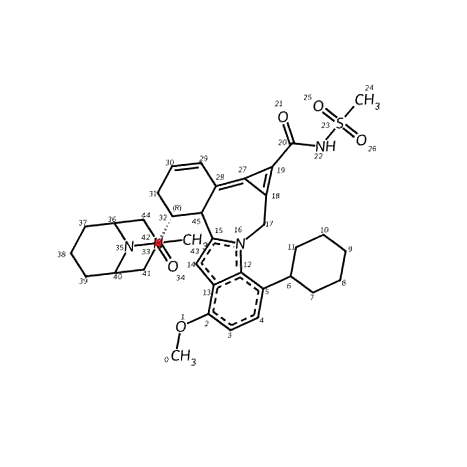 COc1ccc(C2CCCCC2)c2c1cc1n2CC2=C(C(=O)NS(C)(=O)=O)C2=C2C=CC[C@@H](C(=O)N3C4CCCC3CN(C)C4)C21